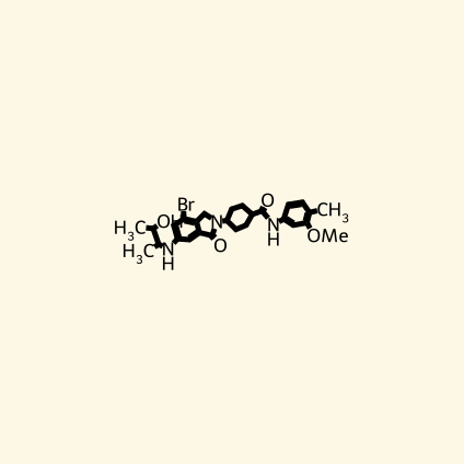 COc1cc(NC(=O)C2CCC(N3Cc4c(Br)cc(NC(C)C(C)O)cc4C3=O)CC2)ccc1C